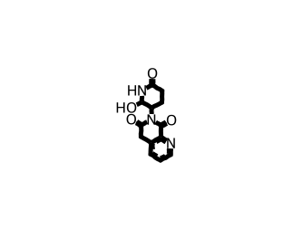 O=C1CCC(N2C(=O)Cc3cccnc3C2=O)C(O)N1